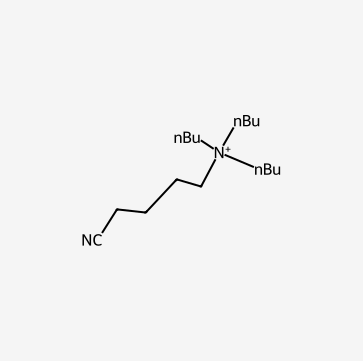 CCCC[N+](CCCC)(CCCC)CCCCC#N